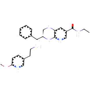 CCNC(=O)c1cnc2c(c1)NC[C@H]([C@H](NCCc1ccc(OC)nc1)c1ccccc1)N2